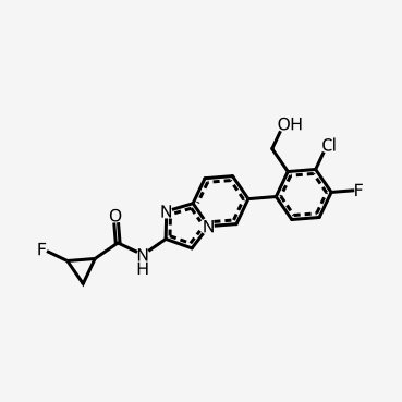 O=C(Nc1cn2cc(-c3ccc(F)c(Cl)c3CO)ccc2n1)C1CC1F